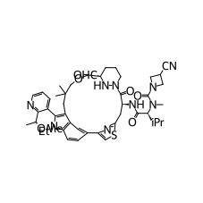 CCn1c(-c2cccnc2[C@H](C)OC)c2c3cc(ccc31)-c1csc(n1)C[C@H](NC(=O)[C@H](C(C)C)N(C)C(=O)N1CC(C#N)C1)C(=O)N1CCC[C@](C=O)(COCC(C)(C)C2)N1